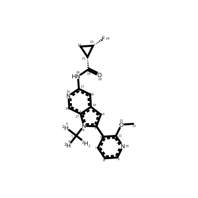 [2H]C([2H])([2H])n1c(-c2cccnc2OC)cc2cc(NC(=O)[C@@H]3C[C@@H]3F)ncc21